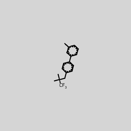 Cc1cccc(-c2ccc(CC(C)(C)C(F)(F)F)cc2)c1